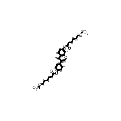 O=C(CCCCCO[N+](=O)[O-])Oc1ccc(-c2coc3cc(OC(=O)CCCCCO[N+](=O)[O-])ccc3c2=O)cc1